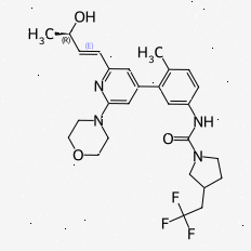 Cc1ccc(NC(=O)N2CCC(CC(F)(F)F)C2)cc1-c1cc(/C=C/[C@@H](C)O)nc(N2CCOCC2)c1